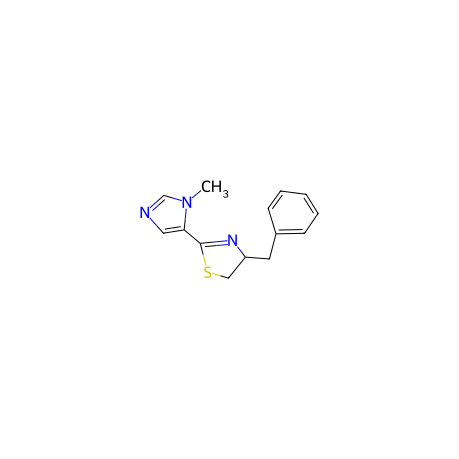 Cn1cncc1C1=NC(Cc2ccccc2)CS1